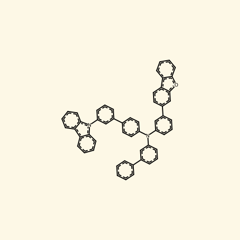 c1ccc(-c2cccc(N(c3ccc(-c4cccc(-n5c6ccccc6c6ccccc65)c4)cc3)c3cccc(-c4ccc5c(c4)oc4ccccc45)c3)c2)cc1